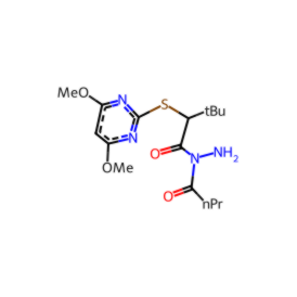 CCCC(=O)N(N)C(=O)C(Sc1nc(OC)cc(OC)n1)C(C)(C)C